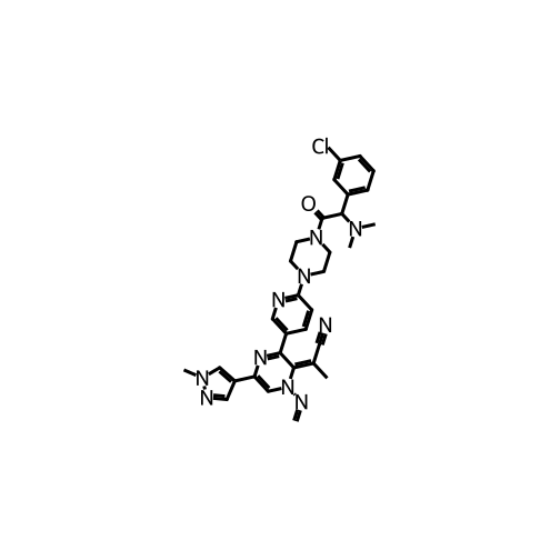 C=NN1C=C(c2cnn(C)c2)N=C(c2ccc(N3CCN(C(=O)C(c4cccc(Cl)c4)N(C)C)CC3)nc2)/C1=C(/C)C#N